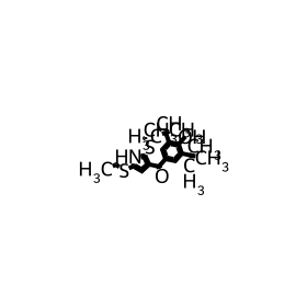 CCSc1cc(C(=O)c2cc(C(C)(C)C)c(O)c(C(C)(C)C)c2)c(SCC)[nH]1